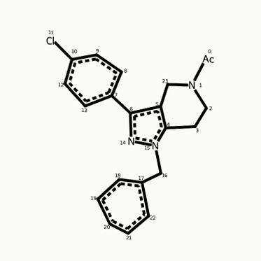 CC(=O)N1CCc2c(c(-c3ccc(Cl)cc3)nn2Cc2ccccc2)C1